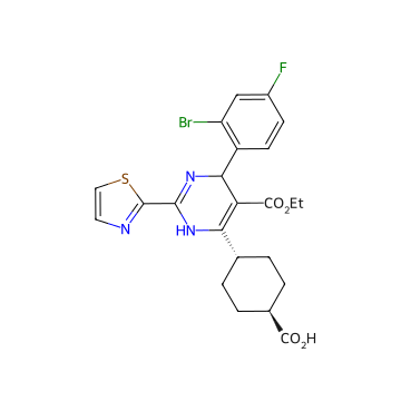 CCOC(=O)C1=C([C@H]2CC[C@H](C(=O)O)CC2)NC(c2nccs2)=NC1c1ccc(F)cc1Br